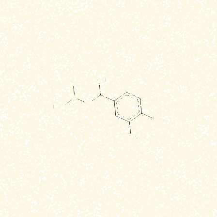 COc1cc(C(O)O[SiH](C)C)ccc1C(C)(C)C